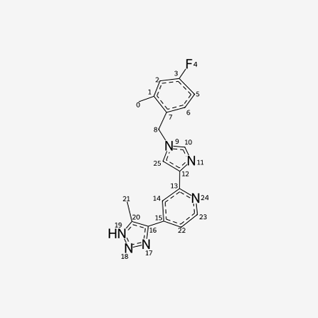 Cc1cc(F)ccc1Cn1cnc(-c2cc(-c3nn[nH]c3C)ccn2)c1